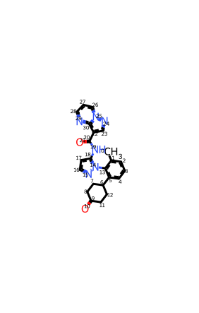 Cc1cccc(C2CCC(=O)CC2)c1-n1nccc1NC(=O)c1cnn2cccnc12